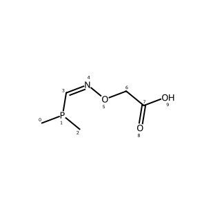 CP(C)/C=N\OCC(=O)O